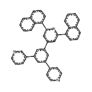 c1cncc(-c2cc(-c3ccncc3)cc(-c3cc(-c4cccc5ccccc45)nc(-c4cccc5ccccc45)c3)c2)c1